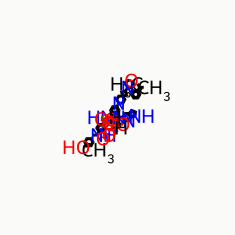 CC(C)c1ccccc1[C@@H]1COCCN1C1CC2(CCN(c3ccc(C(=O)NS(=O)(=O)c4ccc(NC[C@H]5CC[C@](C)(O)CC5)c([N+](=O)[O-])c4)c(N4c5cc6cc[nH]c6nc5O[C@@H]5CCOC[C@H]54)c3)CC2)C1